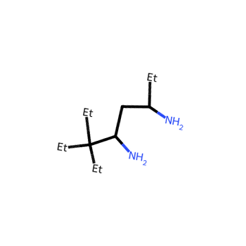 CCC(N)CC(N)C(CC)(CC)CC